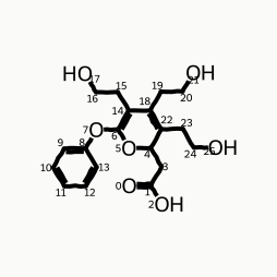 O=C(O)CC1OC(Oc2ccccc2)=C(CCO)C(CCO)=C1CCO